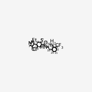 CCn1ncc(Cl)c1C1=C(Cl)C=C(C(=O)N[C@H](CN)Cc2cccc(C(F)(F)F)c2)C(=S)C1